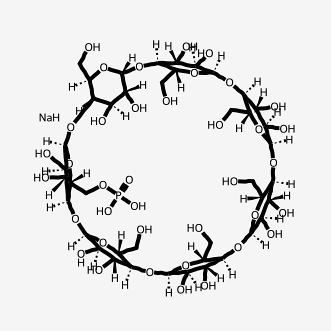 O=P(O)(O)OC[C@H]1O[C@@H]2O[C@H]3[C@H](O)[C@@H](O)[C@@H](O[C@H]4[C@H](O)[C@@H](O)[C@@H](O[C@H]5[C@H](O)[C@@H](O)[C@@H](O[C@H]6[C@H](O)[C@@H](O)[C@@H](O[C@H]7[C@H](O)[C@@H](O)[C@@H](O[C@H]8[C@H](O)[C@@H](O)[C@@H](O[C@H]1[C@H](O)[C@H]2O)O[C@@H]8CO)O[C@@H]7CO)O[C@@H]6CO)O[C@@H]5CO)O[C@@H]4CO)O[C@@H]3CO.[NaH]